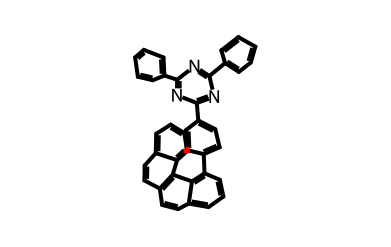 c1ccc(-c2nc(-c3ccccc3)nc(-c3ccc(-c4cccc5ccc6ccc7ccccc7c6c45)cc3)n2)cc1